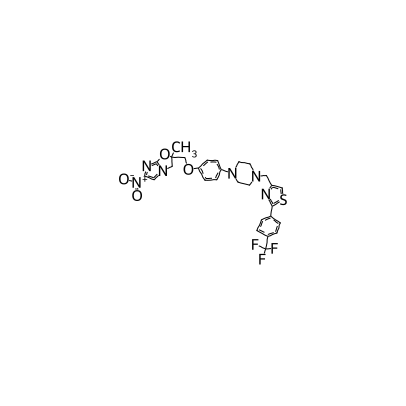 CC1(COc2ccc(N3CCN(Cc4csc(-c5ccc(C(F)(F)F)cc5)n4)CC3)cc2)Cn2cc([N+](=O)[O-])nc2O1